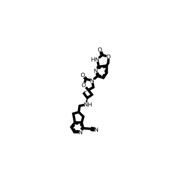 N#Cc1nccc2c1CC(CN[C@H]1C[C@]3(CN(c4ccc5c(n4)NC(=O)OC5)C(=O)O3)C1)C2